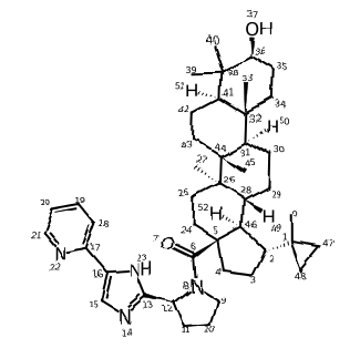 CC1([C@@H]2CC[C@]3(C(=O)N4CCC[C@H]4c4ncc(-c5ccccn5)[nH]4)CC[C@]4(C)[C@H](CC[C@@H]5[C@@]6(C)CC[C@H](O)C(C)(C)[C@@H]6CC[C@]54C)[C@@H]23)CC1